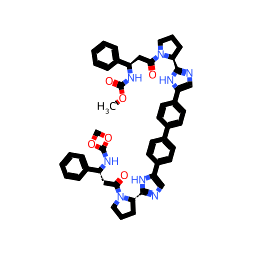 COC(=O)N[C@H](CC(=O)N1CCC[C@H]1c1ncc(-c2ccc(-c3ccc(-c4cnc([C@@H]5CCCN5C(=O)C[C@@H](NC5OCO5)c5ccccc5)[nH]4)cc3)cc2)[nH]1)c1ccccc1